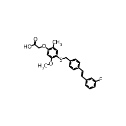 COc1cc(OCC(=O)O)c(C)cc1SCc1ccc(C=Cc2cccc(F)c2)cc1